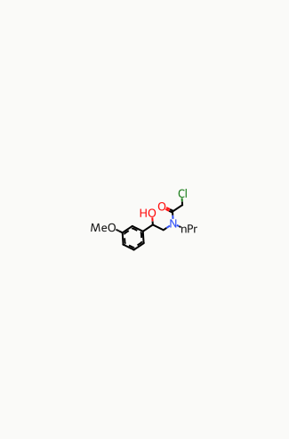 CCCN(CC(O)c1cccc(OC)c1)C(=O)CCl